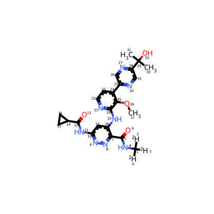 [2H]C([2H])([2H])NC(=O)c1nnc(NC(=O)C2CC2)cc1Nc1nccc(-c2cnc(C(C)(C)O)cn2)c1OC